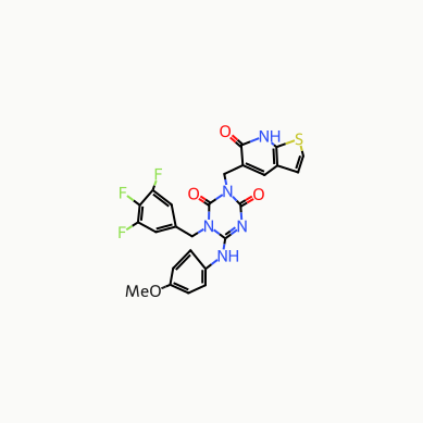 COc1ccc(Nc2nc(=O)n(Cc3cc4ccsc4[nH]c3=O)c(=O)n2Cc2cc(F)c(F)c(F)c2)cc1